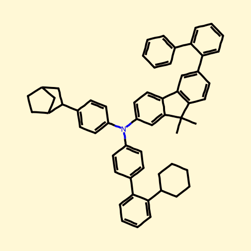 CC1(C)c2ccc(-c3ccccc3-c3ccccc3)cc2-c2ccc(N(c3ccc(-c4ccccc4C4CCCCC4)cc3)c3ccc(C4CC5CCC4C5)cc3)cc21